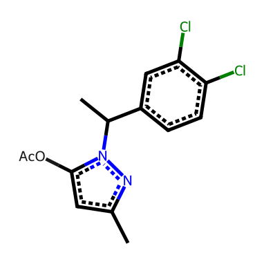 CC(=O)Oc1cc(C)nn1C(C)c1ccc(Cl)c(Cl)c1